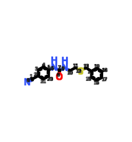 N#Cc1ccc(NC(=O)NCCSCc2ccccc2)cc1